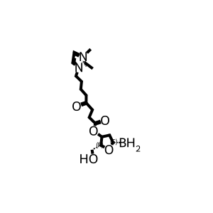 B[C@H]1CC(OC(=O)CCC(=O)CCCC[n+]2ccn(C)c2C)[C@@H](CO)O1